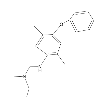 CCN(C)CNc1cc(C)c(Oc2ccccc2)cc1C